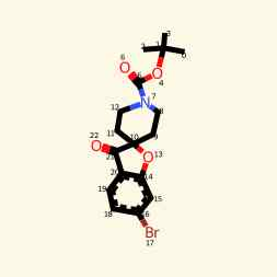 CC(C)(C)OC(=O)N1CCC2(CC1)Oc1cc(Br)ccc1C2=O